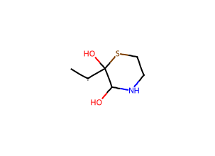 C[CH]C1(O)SCCNC1O